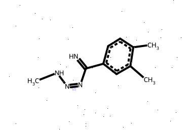 CN/N=N\C(=N)c1ccc(C)c(C)c1